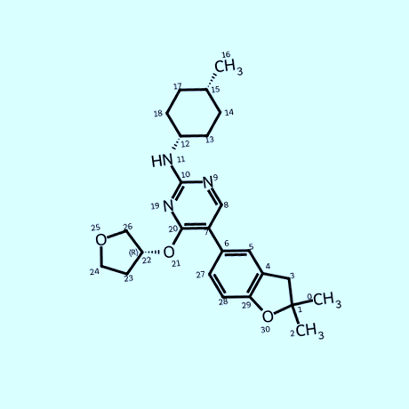 CC1(C)Cc2cc(-c3cnc(N[C@H]4CC[C@@H](C)CC4)nc3O[C@@H]3CCOC3)ccc2O1